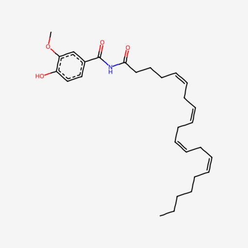 CCCCC/C=C\C/C=C\C/C=C\C/C=C\CCCC(=O)NC(=O)c1ccc(O)c(OC)c1